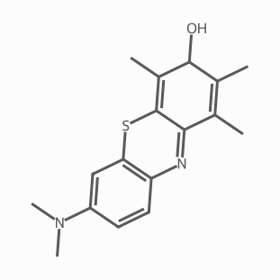 CC1=C(C)C(O)C(C)=C2Sc3cc(N(C)C)ccc3N=C12